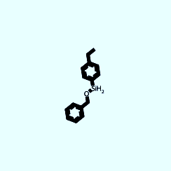 CCc1ccc([SiH2]OCc2ccccc2)cc1